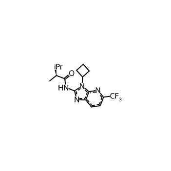 CC(C)[C@H](C)C(=O)Nc1nc2ccc(C(F)(F)F)nc2n1C1CCC1